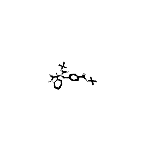 CC(C)(C)OC(=O)c1ccc(CN(C(=O)OC(C)(C)C)[C@@](C)(C(=O)O)C2CCCCC2)cc1